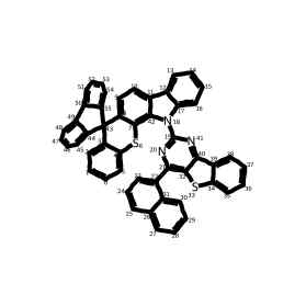 c1ccc2c(c1)Sc1c(ccc3c4ccccc4n(-c4nc(-c5cccc6ccccc56)c5sc6ccccc6c5n4)c13)C21c2ccccc2-c2ccccc21